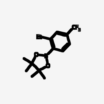 CCc1cc(C(F)(F)F)ccc1B1OC(C)(C)C(C)(C)O1